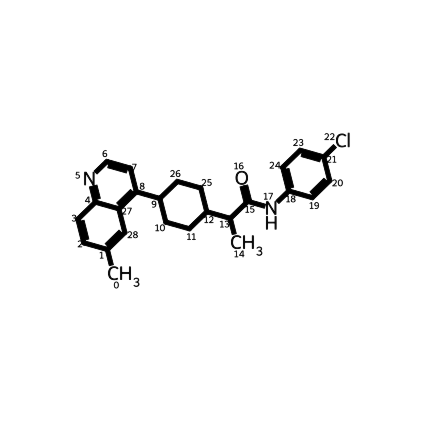 Cc1ccc2nccc(C3CCC(C(C)C(=O)Nc4ccc(Cl)cc4)CC3)c2c1